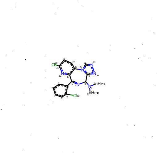 CCCCCCN(CCCCCC)C1N=C(c2ccccc2Cl)c2nc(Cl)ccc2-n2cnnc21